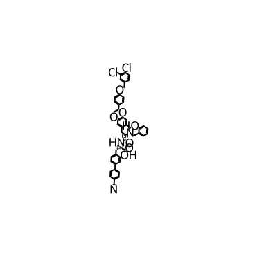 N#Cc1ccc(-c2ccc(C[C@H](NC(=O)[C@@H]3Cc4cc5c(cc4CN3Cc3ccccc3O)OC(c3ccc(OCc4ccc(Cl)c(Cl)c4)cc3)CO5)C(=O)O)cc2)cc1